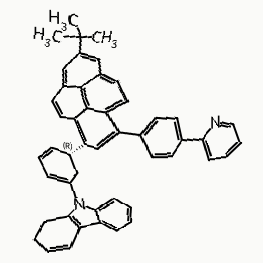 CC(C)(C)c1cc2ccc3c(-c4ccc(-c5ccccn5)cc4)cc([C@H]4C=CC=C(n5c6c(c7ccccc75)C=CCC6)C4)c4ccc(c1)c2c34